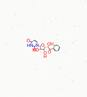 C[C@@]1(O)[C@H](O)[C@@H](C(O)C(=O)c2ccccc2)O[C@H]1n1ccc(=O)[nH]c1=O